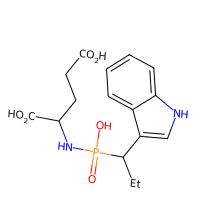 CCC(c1c[nH]c2ccccc12)P(=O)(O)NC(CCC(=O)O)C(=O)O